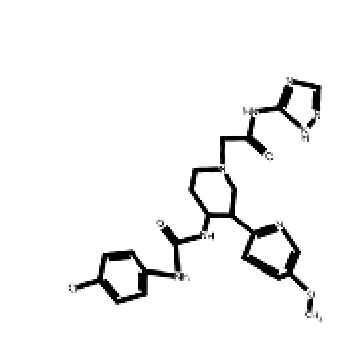 COc1ccc(C2CN(CC(=O)Nc3ncn[nH]3)CCC2NC(=O)Nc2ccc(Cl)cc2)nc1